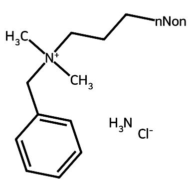 CCCCCCCCCCCC[N+](C)(C)Cc1ccccc1.N.[Cl-]